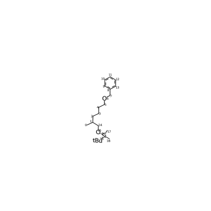 CC(CCCCOCc1ccccc1)CO[Si](C)(C)C(C)(C)C